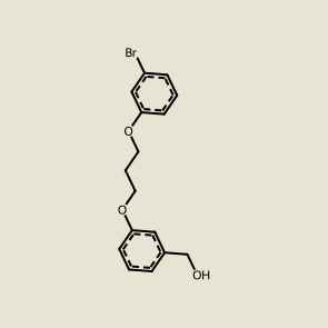 OCc1cccc(OCCCOc2cccc(Br)c2)c1